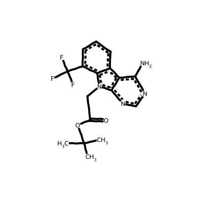 CC(C)(C)OC(=O)Cn1c2ncnc(N)c2c2cccc(C(F)(F)F)c21